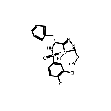 CCCOc1nnc([C@@H](Cc2ccccc2)NS(=O)(=O)c2ccc(Cl)c(Cl)c2)n1CC